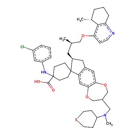 C[C@@H](COc1ccnc2c1[C@H](C)CCC2)C[C@H]1Cc2cc3c(cc2C12CCC(Nc1cccc(Cl)c1)(C(=O)O)CC2)OCC(CN(C)C1CCSCC1)CO3